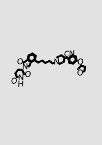 N#CC1(c2ccc(O[C@H]3CCOC3)cc2)CCN(CCCCCc2cccc3c2CN(C2CCC(=O)NC2=O)C3=O)CC1